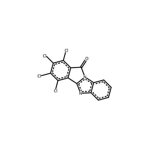 O=C1c2c(Cl)c(Cl)c(Cl)c(Cl)c2-c2nc3ccccc3n21